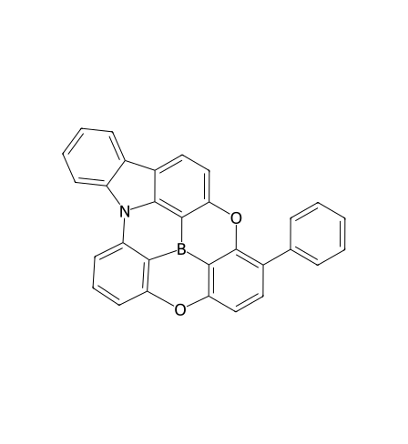 c1ccc(-c2ccc3c4c2Oc2ccc5c6ccccc6n6c5c2B4c2c(cccc2-6)O3)cc1